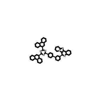 c1cc(-c2ccc(-c3nc(-c4cc5ccccc5c5ccccc45)nc(-c4cc5ccccc5c5ccccc45)n3)cc2)cc(-c2nc3ccccc3c3nc4ccccn4c23)c1